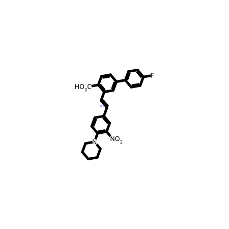 O=C(O)c1ccc(-c2ccc(F)cc2)cc1/C=C/c1ccc(N2CCCCC2)c([N+](=O)[O-])c1